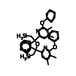 Cc1cc(C(C[SiH3])(OC(C[SiH3])(c2ccccc2)c2cc(C)c(C)c(Oc3ccccc3)n2)c2ccccc2)nc(Oc2ccccc2)c1C